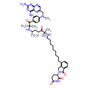 CN(Cc1cnc2nc(N)nc(N)c2n1)c1ccc(C(=O)C(C)(C)N[C@@H](CCC(=O)C(C)(C)NCCCCCCCCCc2cccc3c2CN(C2CCC(=O)NC2=O)C3=O)C(=O)O)cc1